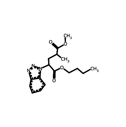 CCCCOC(=O)C(CC(C)C(=O)OC)n1nnc2ccccc21